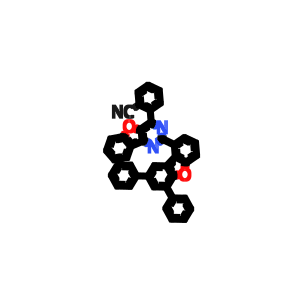 N#Cc1ccccc1-c1nc(-c2cccc3oc4c(-c5ccccc5)cc(-c5ccccc5)cc4c23)nc2c1oc1ccccc12